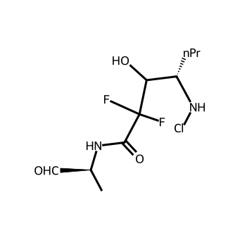 CCC[C@H](NCl)C(O)C(F)(F)C(=O)N[C@@H](C)C=O